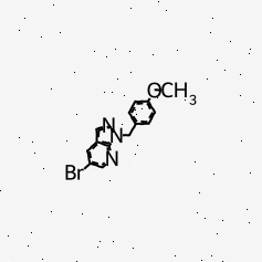 COc1ccc(Cn2ncc3cc(Br)cnc32)cc1